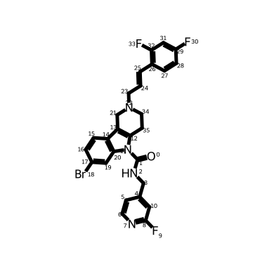 O=C(NCc1ccnc(F)c1)n1c2c(c3ccc(Br)cc31)CN(C/C=C/c1ccc(F)cc1F)CC2